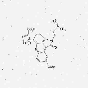 COc1ccc2nc3c(C)ccc4c3c(c2c1)C(=O)N4CCN(C)C.O=C(O)/C=C/C(=O)O